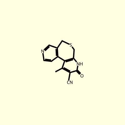 Cc1c2c([nH]c(=O)c1C#N)CSCc1cnccc1-2